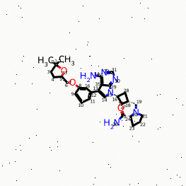 CC1(C)CCC(COc2cccc(-c3cn([C@H]4C[C@@H](CN5CCC[C@@H]5C(N)=O)C4)c4ncnc(N)c34)c2)O1